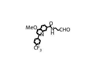 COc1cc(-c2ccc(C(F)(F)F)cc2)nc2cc(C(=O)NCCC=O)ccc12